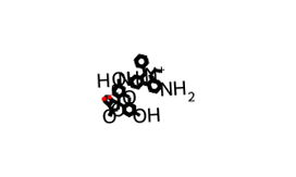 CC[n+]1c(-c2ccccc2)c2cc(N)ccc2c2ccc(N)cc21.O=C1OC2(c3ccc(O)cc3Oc3cc(O)ccc32)c2ccccc21